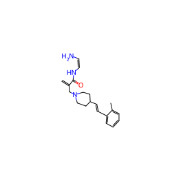 C=C(CN1CCC(/C=C/c2ccccc2C)CC1)C(=O)N/C=C\N